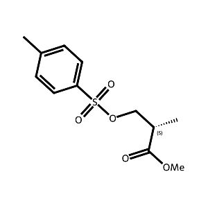 COC(=O)[C@@H](C)COS(=O)(=O)c1ccc(C)cc1